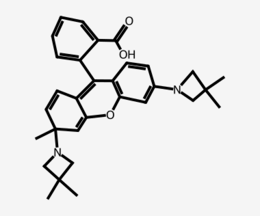 CC1(C)CN(c2ccc3c(c2)OC2=CC(C)(N4CC(C)(C)C4)C=CC2=C3c2ccccc2C(=O)O)C1